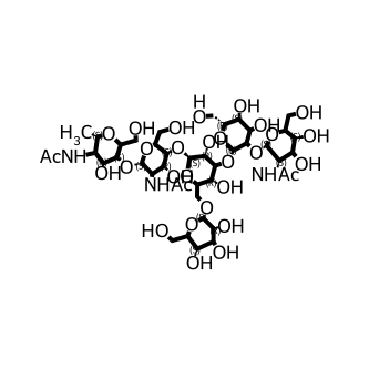 CC(=O)NC1[C@H](O[C@@H]2C(CO)O[C@@H](C)C(NC(C)=O)[C@H]2O)OC(CO)[C@@H](O[C@@H]2OC(CO[C@H]3OC(CO)[C@@H](O)C(O)[C@H]3O)[C@@H](O)C(O[C@H]3O[C@H](CO)[C@@H](O)C(O)C3O[C@@H]3OC(CO)[C@@H](O)C(O)[C@@H]3NC(C)=O)[C@H]2O)[C@@H]1O